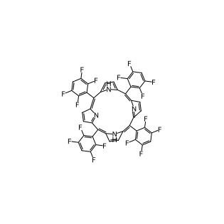 Fc1cc(F)c(F)c(-c2c3nc(c(-c4c(F)c(F)cc(F)c4F)c4ccc([nH]4)c(-c4c(F)c(F)cc(F)c4F)c4nc(c(-c5c(F)c(F)cc(F)c5F)c5ccc2[nH]5)C=C4)C=C3)c1F